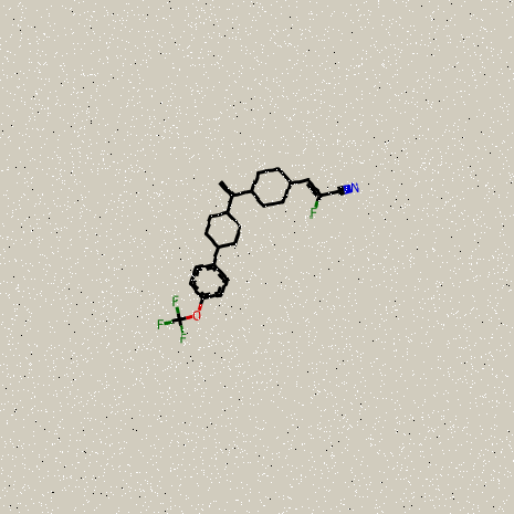 C=C(C1CCC(C=C(F)C#N)CC1)C1CCC(c2ccc(OC(F)(F)F)cc2)CC1